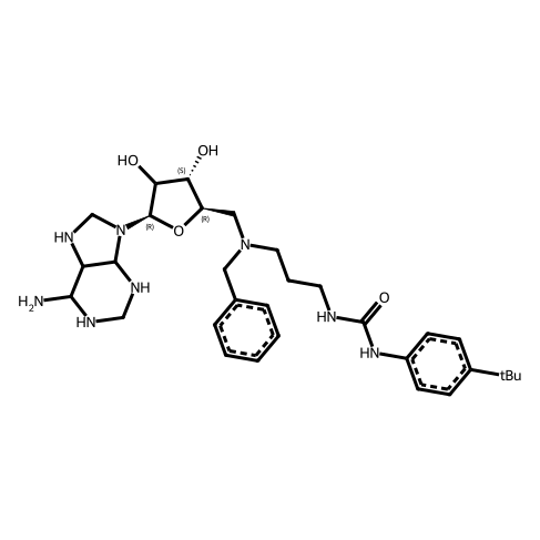 CC(C)(C)c1ccc(NC(=O)NCCCN(Cc2ccccc2)C[C@H]2O[C@@H](N3CNC4C(N)NCNC43)C(O)[C@@H]2O)cc1